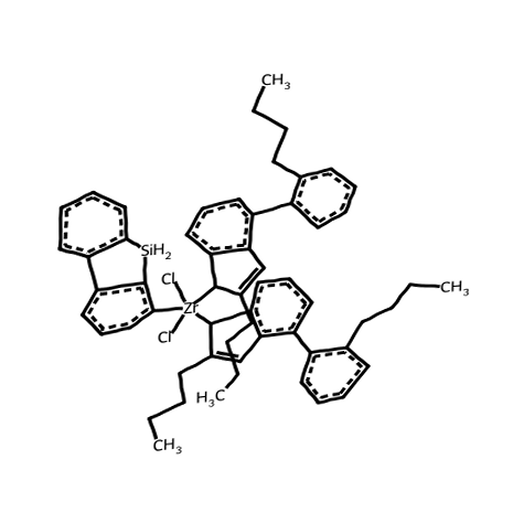 CCCCC1=Cc2c(-c3ccccc3CCCC)cccc2[CH]1[Zr]([Cl])([Cl])([c]1cccc2c1[SiH2]c1ccccc1-2)[CH]1C(CCCC)=Cc2c(-c3ccccc3CCCC)cccc21